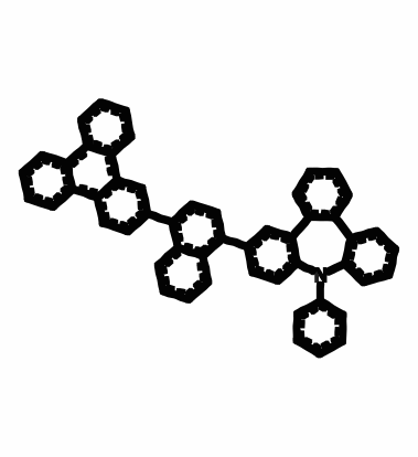 c1ccc(N2c3ccccc3-c3ccccc3-c3cc(-c4ccc(-c5ccc6c7ccccc7c7ccccc7c6c5)c5ccccc45)ccc32)cc1